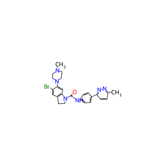 Cc1ccc(-c2ccc(NC(=O)N3CCc4cc(Br)c(N5CCN(C)CC5)cc43)cc2)nn1